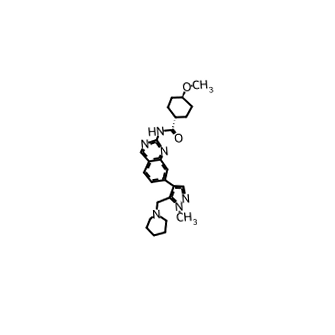 CO[C@H]1CC[C@H](C(=O)Nc2ncc3ccc(-c4cnn(C)c4CN4CCCCC4)cc3n2)CC1